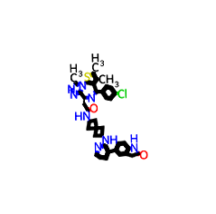 Cc1sc2c(c1C)C(c1ccc(Cl)cc1)=N[C@@H](CC(=O)NC1CC3(C1)CC(Nc1ncccc1-c1ccc4c(c1)CC(=O)N4)C3)c1nnc(C)n1-2